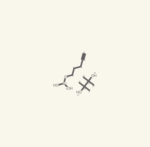 C#CCCCOB(O)O.CC(C)(O)C(C)(C)O